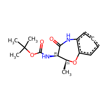 C[C@@H]1Oc2ccccc2NC(=O)[C@@H]1NC(=O)OC(C)(C)C